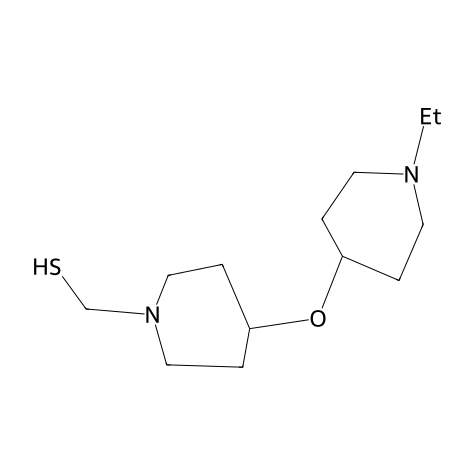 CCN1CCC(OC2CCN(CS)CC2)CC1